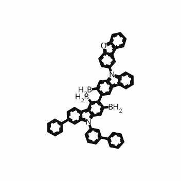 Bc1cc2c(cc1-c1c(B)cc3c(c1B)c1ccc(-c4ccccc4)cc1n3-c1cccc(-c3ccccc3)c1)c1ccccc1n2-c1ccc2oc3ccccc3c2c1